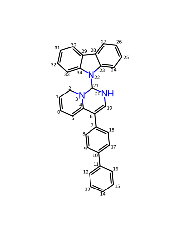 C1=CCN2C(=C1)C(c1ccc(-c3ccccc3)cc1)=CNC2n1c2ccccc2c2ccccc21